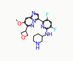 COc1cc2ncc(-c3nc(NC4CCCNC4)c(F)cc3F)n2nc1C1COC1